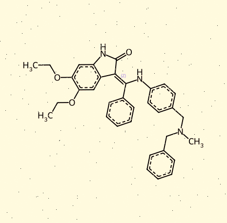 CCOc1cc2c(cc1OCC)/C(=C(/Nc1ccc(CN(C)Cc3ccccc3)cc1)c1ccccc1)C(=O)N2